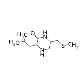 CSCC1CNC(CC(C)C)C(=O)N1